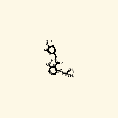 COc1ccc(CNC(=O)c2c(Cl)cncc2OCC(C)C)cc1F